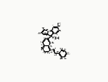 OC(c1ccc(Cl)cc1)(c1ccc2nccc(C=Cc3ccccc3)c2c1)c1cccs1